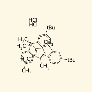 Cl.Cl.[CH2]=[Zr]([CH3])([C]1=C(C)C(C)=CC1C)([c]1ccc(C)cc1)[c]1cc(C(C)(C)C)cc2c1Cc1ccc(C(C)(C)C)cc1-2